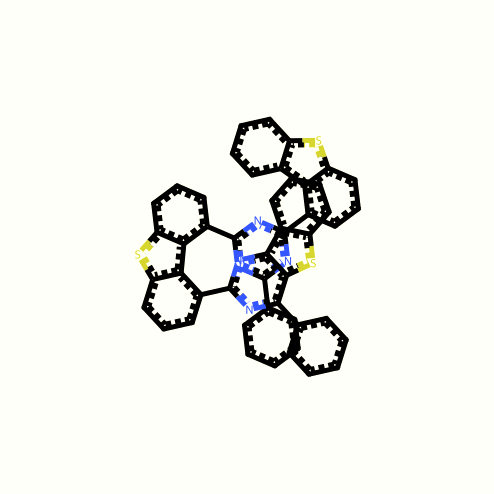 c1ccc(-c2nc(-c3cccc4sc5ccccc5c34)nc(-c3cccc4sc5cccc(-c6nc(-c7ccccc7)c7sc8ccccc8c7n6)c5c34)n2)cc1